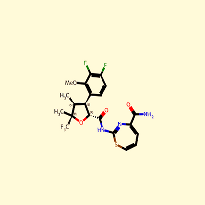 COc1c([C@H]2[C@H](C(=O)NC3=NC(C(N)=O)=CC=CS3)O[C@@](C)(C(F)(F)F)[C@H]2C)ccc(F)c1F